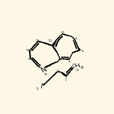 C=CCI.c1ccc2ncccc2c1